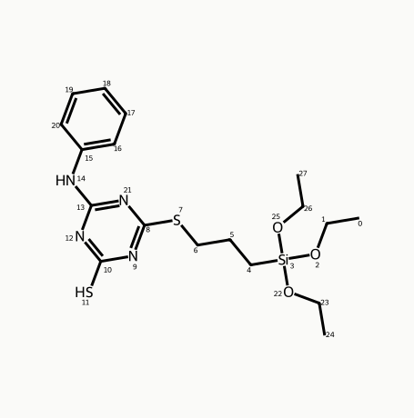 CCO[Si](CCCSc1nc(S)nc(Nc2ccccc2)n1)(OCC)OCC